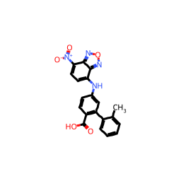 Cc1ccccc1-c1cc(Nc2ccc([N+](=O)[O-])c3nonc23)ccc1C(=O)O